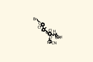 Cc1c(COc2cc(OCc3cncc(C#N)c3)c(CNC(C)(CO)CO)cc2Cl)cccc1-c1cccc(OCCCBr)c1Cl